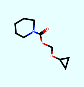 O=C(OCOC1CC1)N1CCCCC1